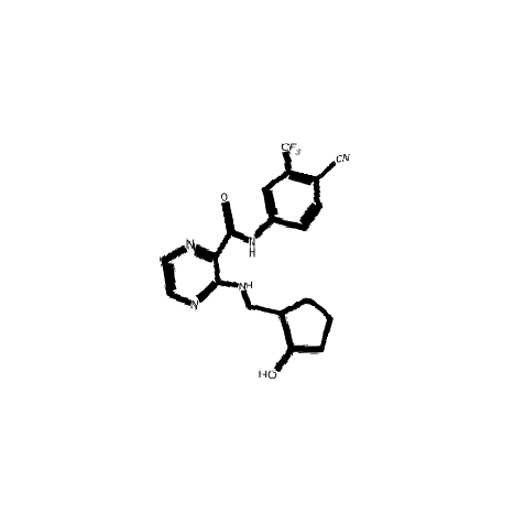 N#Cc1ccc(NC(=O)c2nccnc2NCC2CCCC2O)cc1C(F)(F)F